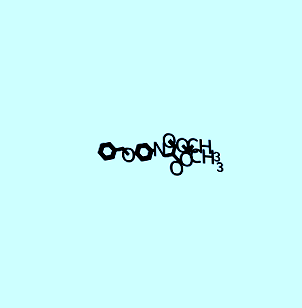 CC1(C)OC(=O)C(C=Nc2ccc(OCc3ccccc3)cc2)C(=O)O1